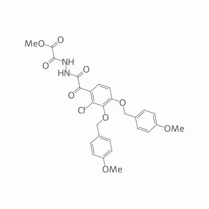 COC(=O)C(=O)NNC(=O)C(=O)c1ccc(OCc2ccc(OC)cc2)c(OCc2ccc(OC)cc2)c1Cl